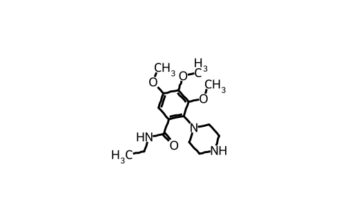 CCNC(=O)c1cc(OC)c(OC)c(OC)c1N1CCNCC1